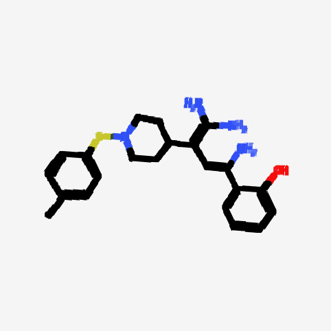 Cc1ccc(SN2CCC(C(/C=C(\N)c3ccccc3O)=C(N)N)CC2)cc1